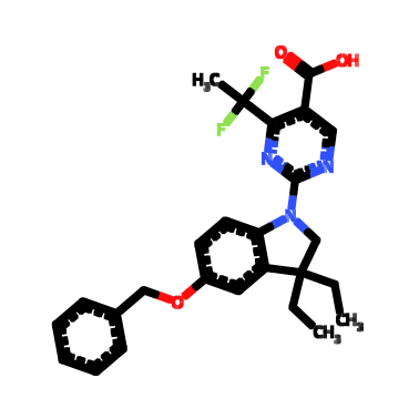 CCC1(CC)CN(c2ncc(C(=O)O)c(C(C)(F)F)n2)c2ccc(OCc3ccccc3)cc21